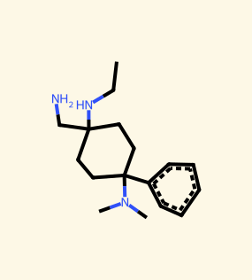 CCNC1(CN)CCC(c2ccccc2)(N(C)C)CC1